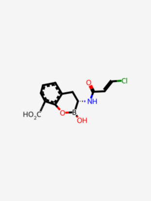 O=C(/C=C/Cl)N[C@H]1Cc2cccc(C(=O)O)c2OB1O